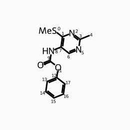 CSc1nc(C)ncc1NC(=O)Oc1ccccc1